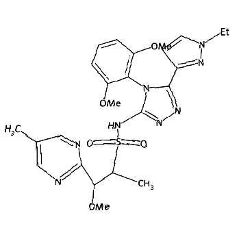 CCn1ccc(-c2nnc(NS(=O)(=O)C(C)C(OC)c3ncc(C)cn3)n2-c2c(OC)cccc2OC)n1